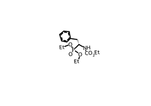 CCOC(=O)N[C@@H](Cc1ccccc1)P(=O)(OCC)OCC